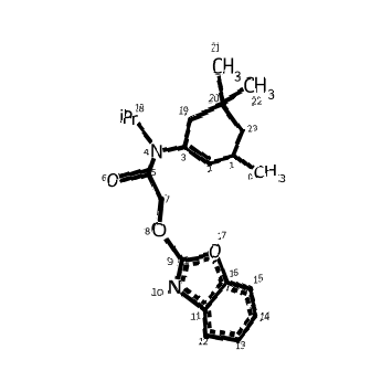 CC1C=C(N(C(=O)COc2nc3ccccc3o2)C(C)C)CC(C)(C)C1